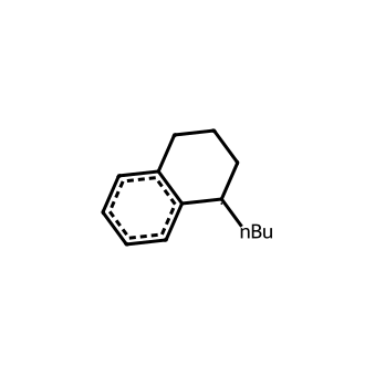 CCCC[C]1CCCc2ccccc21